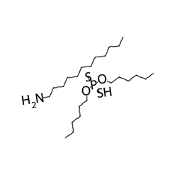 CCCCCCCCCCCCN.CCCCCCOP(=S)(S)OCCCCCC